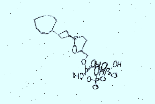 O=P(O)(O)OP(=O)(O)OP(=O)(O)OCC1CC[C@H](C2CC(C3CCCCCCC3)C2)O1